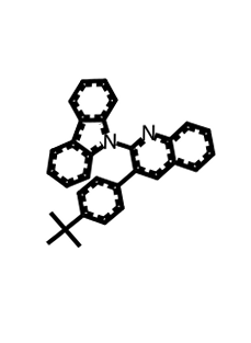 CC(C)(C)c1ccc(-c2cc3ccccc3nc2-n2c3ccccc3c3ccccc32)cc1